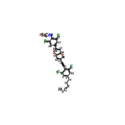 CCCCc1cc(F)c(C#Cc2cc3sc(-c4cc(F)c(N=C=S)c(F)c4)cc3s2)c(F)c1